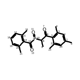 Cc1cc(C)c(C(=O)C(C)[P](=O)C(=O)c2c(C)cccc2C)c(C)c1